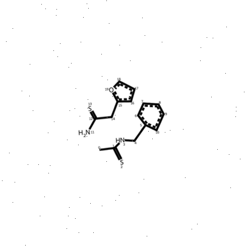 CC(=S)NCc1ccccc1.NC(=S)Cc1ccco1